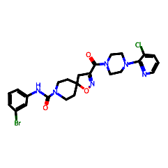 O=C(Nc1cccc(Br)c1)N1CCC2(CC1)CC(C(=O)N1CCN(c3ncccc3Cl)CC1)=NO2